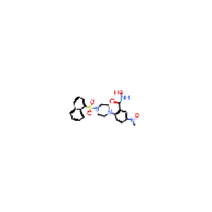 C[N+](=O)c1ccc(N2CCN(S(=O)(=O)c3cccc4ccccc34)CC2)c(C(=O)NO)c1